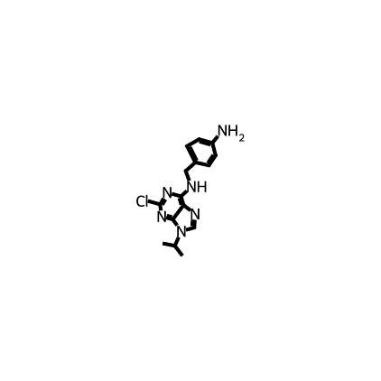 CC(C)n1cnc2c(NCc3ccc(N)cc3)nc(Cl)nc21